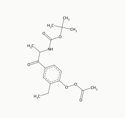 CCc1cc(C(=O)C(C)NC(=O)OC(C)(C)C)ccc1OOC(C)=O